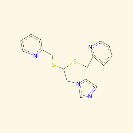 c1ccc(CSC(Cn2ccnc2)SCc2ccccn2)nc1